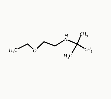 CCOCCNC(C)(C)C